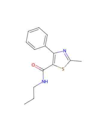 CCCNC(=O)c1sc(C)nc1-c1ccccc1